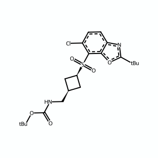 CC(C)(C)OC(=O)NC[C@H]1C[C@@H](S(=O)(=O)c2c(Cl)ccc3nc(C(C)(C)C)oc23)C1